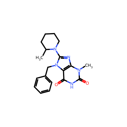 CC1CCCCN1c1nc2c(c(=O)[nH]c(=O)n2C)n1Cc1ccccc1